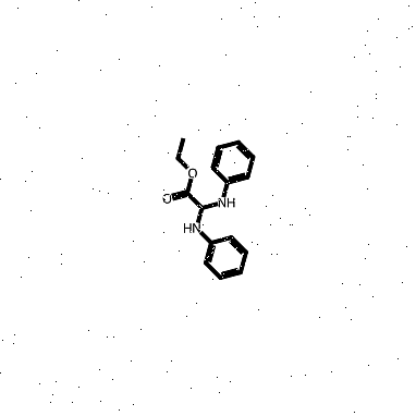 CCOC(=O)C(Nc1ccccc1)Nc1ccccc1